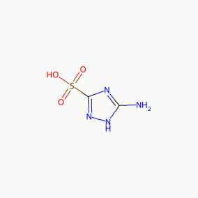 Nc1nc(S(=O)(=O)O)n[nH]1